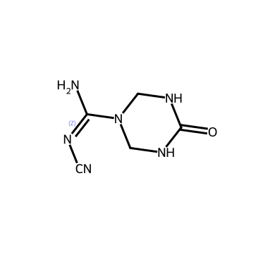 N#C/N=C(/N)N1CNC(=O)NC1